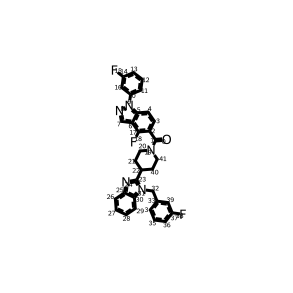 O=C(c1ccc2c(cnn2-c2cccc(F)c2)c1F)N1CCC(c2nc3ccccc3n2Cc2cccc(F)c2)CC1